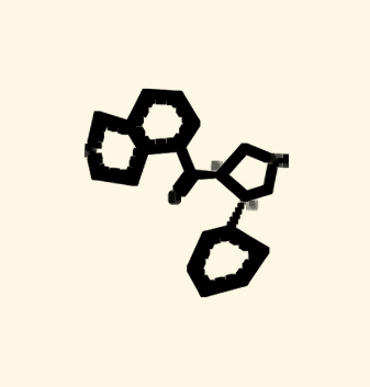 O=C(c1cccc2cnccc12)[C@H]1CNC[C@@H]1c1ccccc1